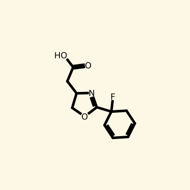 O=C(O)CC1COC(C2(F)C=CC=CC2)=N1